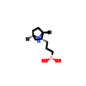 OB(O)CCC[C@@H]1C[C@H]2CC[C@H]1N2